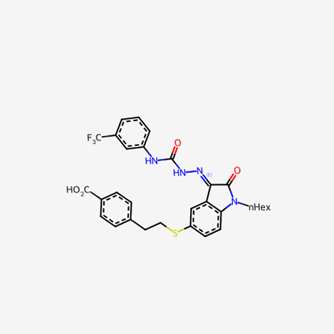 CCCCCCN1C(=O)/C(=N/NC(=O)Nc2cccc(C(F)(F)F)c2)c2cc(SCCc3ccc(C(=O)O)cc3)ccc21